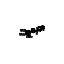 COc1cc(-n2cnc(Nc3ncc4ccsc4n3)c2)cc(OC)c1OC